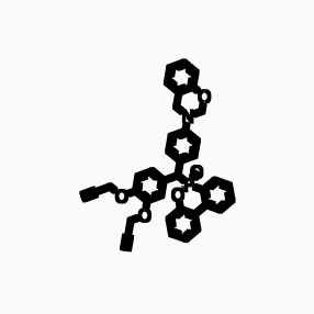 C#CCOc1ccc(C(c2ccc(N3COc4ccccc4C3)cc2)P2(=O)Oc3ccccc3-c3ccccc32)cc1OCC#C